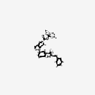 CC(C)(C)OC(=O)N1Cc2cnn(-c3cccc(C(=O)NCc4ccccc4)c3)c2C1